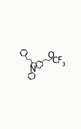 O=C(CCc1ccc2c(c1)c(CCc1ccccc1)cn2-c1ccccc1)C(F)(F)F